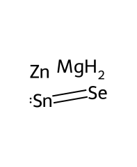 [MgH2].[Se]=[Sn].[Zn]